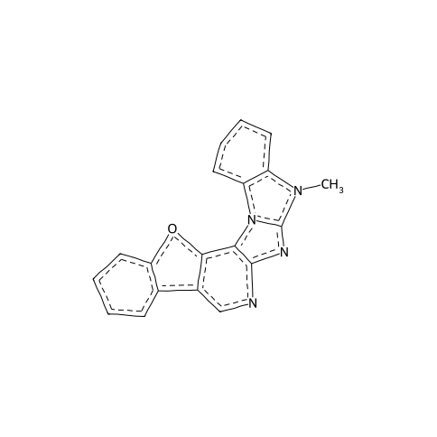 Cn1c2ccccc2n2c3c(ncc4c5ccccc5oc43)nc12